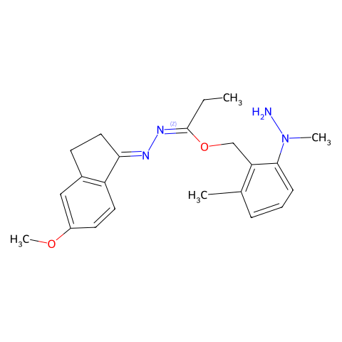 CC/C(=N/N=C1CCc2cc(OC)ccc21)OCc1c(C)cccc1N(C)N